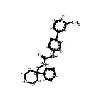 Cc1cc(-c2ccc(NC(=O)NCC3(c4ccccc4)CCOCC3)cc2)ccn1